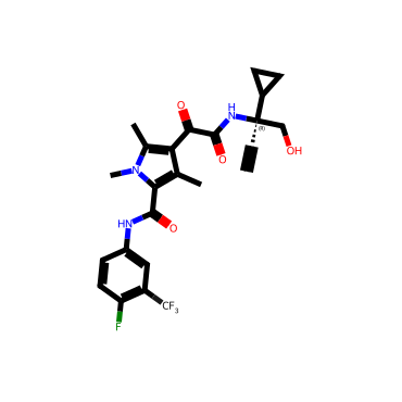 C#C[C@](CO)(NC(=O)C(=O)c1c(C)c(C(=O)Nc2ccc(F)c(C(F)(F)F)c2)n(C)c1C)C1CC1